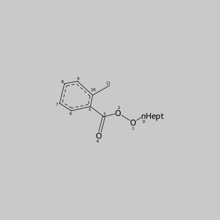 [CH2]CCCCCCOOC(=O)c1ccccc1C